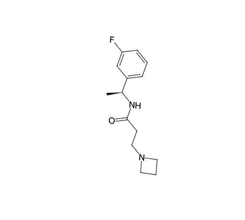 C[C@H](NC(=O)CCN1CCC1)c1cccc(F)c1